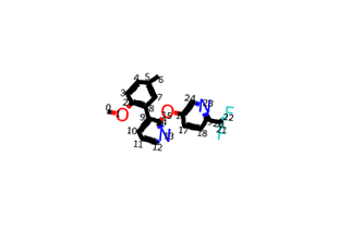 COc1ccc(C)cc1-c1cccnc1Oc1ccc(C(F)F)nc1